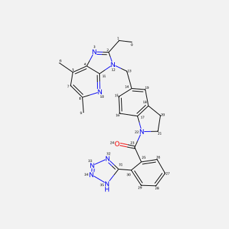 CCc1nc2c(C)cc(C)nc2n1Cc1ccc2c(c1)CCN2C(=O)c1ccccc1-c1nnn[nH]1